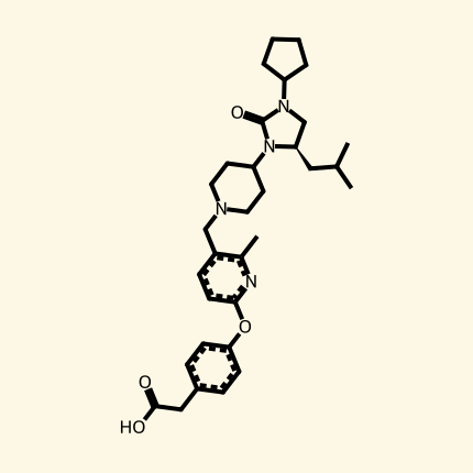 Cc1nc(Oc2ccc(CC(=O)O)cc2)ccc1CN1CCC(N2C(=O)N(C3CCCC3)C[C@H]2CC(C)C)CC1